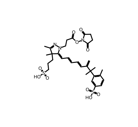 C=C(/C=C/C=C/C=C1\N(CCC(=O)ON2C(=O)CCC2=O)N=C(C)C1(C)CCCS(=O)(=O)O)C(C)(C)c1cc(S(=O)(=O)O)ccc1C